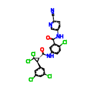 N#Cc1ccc(NC(=O)c2cc(NC(=O)[C@@H]3[C@@H](c4cc(Cl)cc(Cl)c4)C3(Cl)Cl)ccc2Cl)cn1